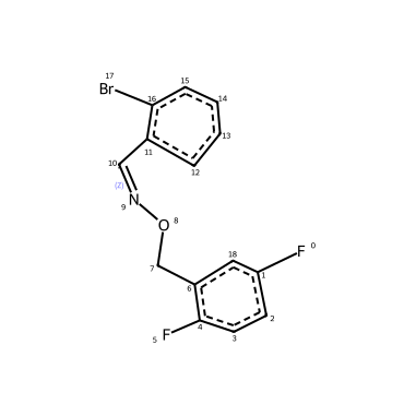 Fc1ccc(F)c(CO/N=[C]\c2ccccc2Br)c1